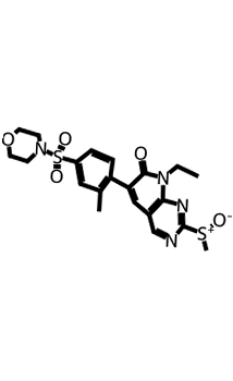 CCn1c(=O)c(-c2ccc(S(=O)(=O)N3CCOCC3)cc2C)cc2cnc([S+](C)[O-])nc21